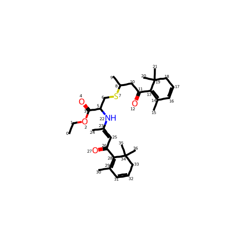 CCOC(=O)C(CSC(C)CC(=O)C1=C(C)C=CCC1(C)C)N/C(C)=C/C(=O)C1=C(C)C=CCC1(C)C